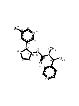 C[C@@H](c1ccncc1)N(C)C(=O)N[C@H]1CCO[C@@H]1c1cncc(Br)c1